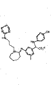 Cc1cc(N=C2CCCCCN2CCCNc2ncccn2)cc(C(Nc2ccc(C#N)cc2)C(=O)O)c1